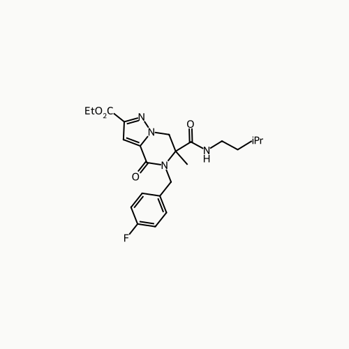 CCOC(=O)c1cc2n(n1)CC(C)(C(=O)NCCC(C)C)N(Cc1ccc(F)cc1)C2=O